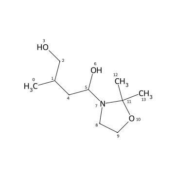 CC(CO)CC(O)N1CCOC1(C)C